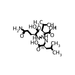 CC(C)C[C@H](NN(N[C@@H](CCC(N)=O)C(=O)O)[C@@H](CC(C)C)C(=O)O)C(=O)O